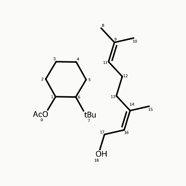 CC(=O)OC1CCCCC1C(C)(C)C.CC(C)=CCC/C(C)=C\CO